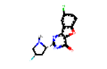 CC(C)(C)N1C[C@H](F)C[C@H]1c1nc2c(oc3ccc(Cl)cc32)c(=O)[nH]1